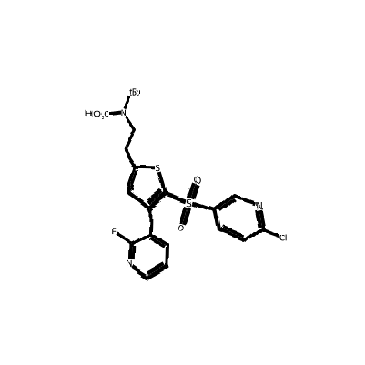 CC(C)(C)N(CCc1cc(-c2cccnc2F)c(S(=O)(=O)c2ccc(Cl)nc2)s1)C(=O)O